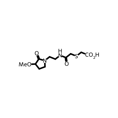 COC1CCN(CCNC(=O)CSCC(=O)O)C1=O